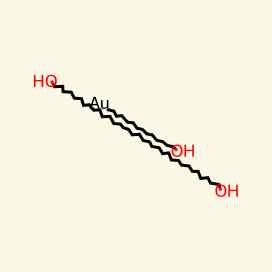 OCCCCCCCCCCCCCCCCCCCCCCCCCCCCCCCCCCO.OCCCCCCCCCCCCC[CH2][Au]